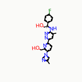 Cc1cn(-c2ccc(-c3cc(C)c(N[C@@H](CO)c4ccc(F)cc4)nn3)nc2CO)cn1